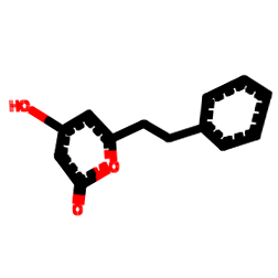 O=c1cc(O)cc(CCc2ccccc2)o1